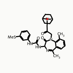 CSc1cccc(NC(=O)NC2N=C(C)c3cccc(C)c3N(CC(=O)N3CC4CCC(CC4)C3)C2=O)c1